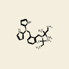 CCC(C)(C)P(Cc1ccccc1CP(c1ccc[nH]1)c1ccc[nH]1)C(C)(C)CC